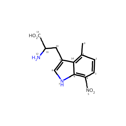 Cc1ccc([N+](=O)[O-])c2[nH]cc(CC(N)C(=O)O)c12